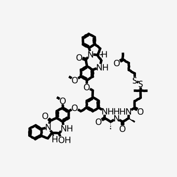 COc1cc2c(cc1OCc1cc(COc3cc4c(cc3OC)C(=O)N3c5ccccc5C[C@H]3C(O)N4)cc(NC(=O)[C@@H](C)NC(=O)[C@H](C)NC(=O)CCC(C)(C)SSCCCC(C)=O)c1)NC[C@@H]1Cc3ccccc3N1C2=O